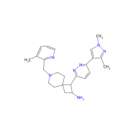 Cc1cccnc1CN1CCC2(CC1)CC(N)C2c1ccc(-c2cn(C)nc2C)nn1